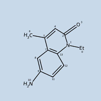 CCn1c(=O)cc(C)c2cc(N)ccc21